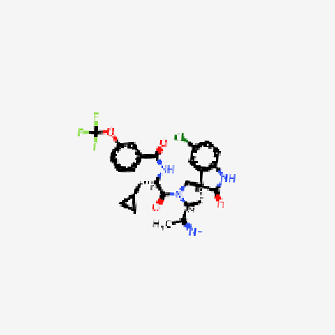 CC(=N)[C@@H]1C[C@@]2(CN1C(=O)[C@H](CC1CC1)NC(=O)c1cccc(OC(F)(F)F)c1)C(=O)Nc1ccc(Cl)cc12